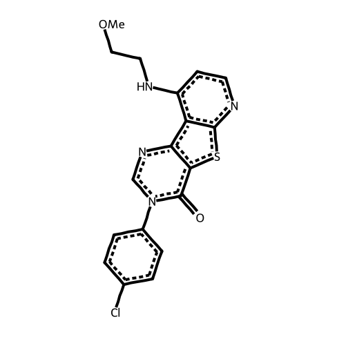 COCCNc1ccnc2sc3c(=O)n(-c4ccc(Cl)cc4)cnc3c12